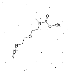 CN(CCOCCN=[N+]=[N-])C(=O)OC(C)(C)C